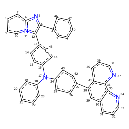 c1ccc(-c2nc3ccccn3c2-c2ccc(N(c3ccccc3)c3ccc(-c4cc5cccnc5c5ncccc45)cc3)cc2)cc1